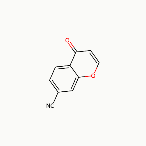 N#Cc1ccc2c(=O)ccoc2c1